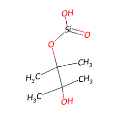 CC(C)(O)C(C)(C)O[Si](=O)O